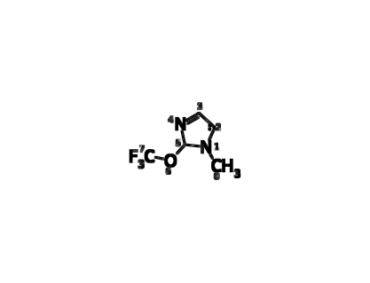 CN1[C]C=NC1OC(F)(F)F